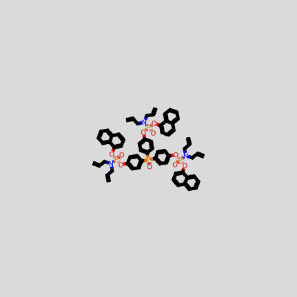 C=CCN(CC=C)P(=O)(Oc1ccc(P(=O)(c2ccc(OP(=O)(Oc3cccc4ccccc34)N(CC=C)CC=C)cc2)c2ccc(OP(=O)(Oc3cccc4ccccc34)N(CC=C)CC=C)cc2)cc1)Oc1cccc2ccccc12